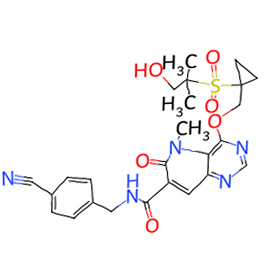 Cn1c(=O)c(C(=O)NCc2ccc(C#N)cc2)cc2ncnc(OCC3(S(=O)(=O)C(C)(C)CO)CC3)c21